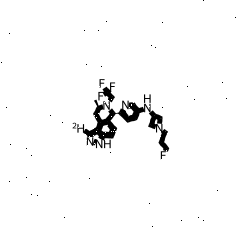 [2H]c1n[nH]c2ccc3c(c12)C[C@@H](C)N(CC(F)(F)F)[C@@H]3c1ccc(NC2CN(CCCF)C2)cn1